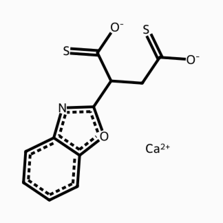 [Ca+2].[O-]C(=S)CC(C([O-])=S)c1nc2ccccc2o1